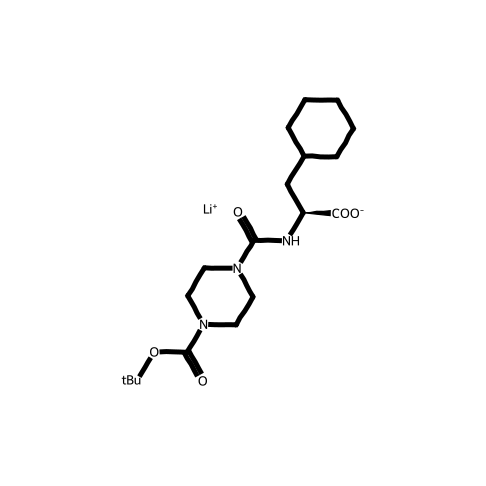 CC(C)(C)OC(=O)N1CCN(C(=O)N[C@@H](CC2CCCCC2)C(=O)[O-])CC1.[Li+]